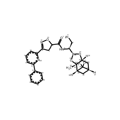 CC(C)C[C@H](NC(=O)C1CC(c2cccc(-c3ccccc3)n2)=NO1)B1O[C@@H]2C[C@@H]3C[C@@H](C3(C)C)[C@]2(C)O1